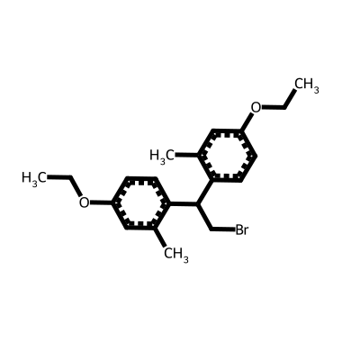 CCOc1ccc(C(CBr)c2ccc(OCC)cc2C)c(C)c1